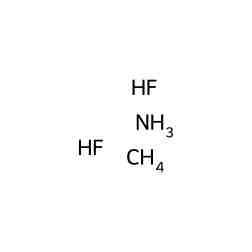 C.F.F.N